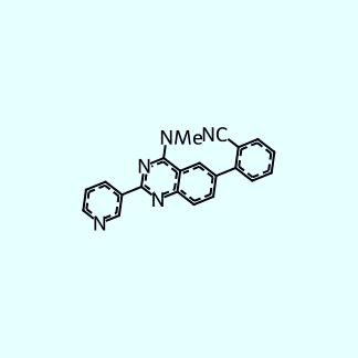 CNc1nc(-c2cccnc2)nc2ccc(-c3ccccc3C#N)cc12